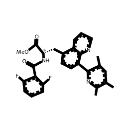 COC(=O)[C@H](Cc1ccc(-c2nc(C)c(C)cc2C)c2ncccc12)NC(=O)c1c(F)cccc1F